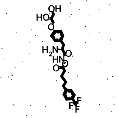 N[C@@H](Cc1ccc(OCC(O)CO)cc1)C(=O)NOC(=O)CCCCc1ccc(C(F)(F)F)cc1